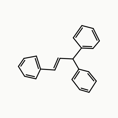 C(=CC(c1ccccc1)c1ccccc1)c1ccccc1